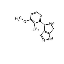 COc1cccc(C2NCc3[nH]ncc32)c1C